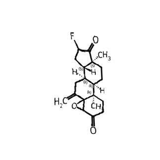 C=C1C[C@@H]2[C@@H](CC[C@]3(C)C(=O)C(F)C[C@@H]23)[C@@]2(C)CCC(=O)C3OC132